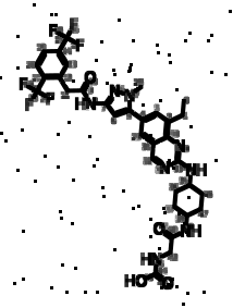 CCc1cc(-c2cc(NC(=O)Cc3cc(C(F)(F)F)ccc3C(F)(F)F)nn2C)cc2cnc(NC3CCC(NC(=O)CNC(=O)O)CC3)nc12